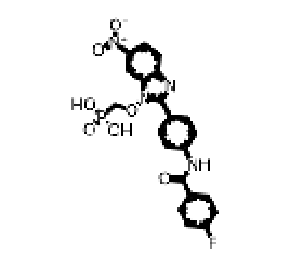 O=C(Nc1ccc(-c2nc3ccc([N+](=O)[O-])cc3n2OCP(=O)(O)O)cc1)c1ccc(F)cc1